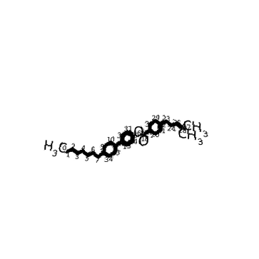 CCCCCCCCC1CCC(c2ccc(OC(=O)C3CC=C(CCC=C(C)C)CC3)cc2)CC1